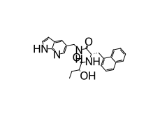 CC[C@@H](O)C(=O)N[C@@H](Cc1cccc2ccccc12)C(=O)NCc1cnc2[nH]ccc2c1